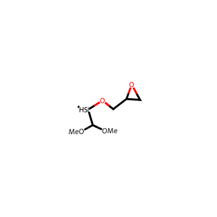 COC(OC)[SiH](C)OCC1CO1